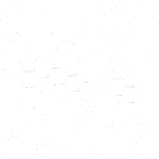 CN1C[C@@H](COc2ccc(C(=O)C(C(=O)O)c3cccc4c3CCN4)cc2)Oc2ccccc21